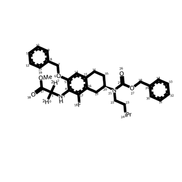 [2H]C([2H])(Nc1c(OCc2ccccc2)cc2c(c1F)C[C@H](N(CCC(C)C)C(=O)OCc1ccccc1)CC2)C(=O)OC